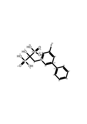 O=P(O)(O)C(O)(C[n+]1cc(F)cc(-c2ccccc2)c1)P(=O)(O)O